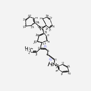 C=C/C(=C\C=C\Nc1ccccc1)C1C=CC(N(C2=CC=CCC2)C2C=CC=CC2)=CC1